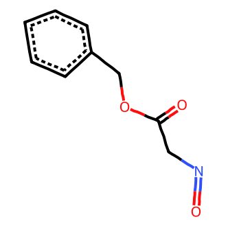 O=NCC(=O)OCc1ccccc1